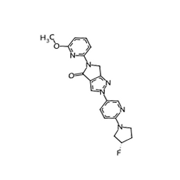 COc1cccc(N2Cc3nn(-c4ccc(N5CC[C@H](F)C5)nc4)cc3C2=O)n1